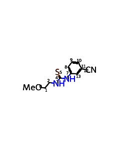 COCCNC(=S)Nc1cccc(C#N)c1